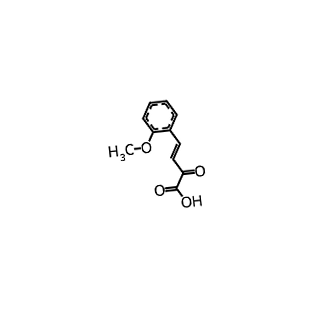 COc1ccccc1/C=C/C(=O)C(=O)O